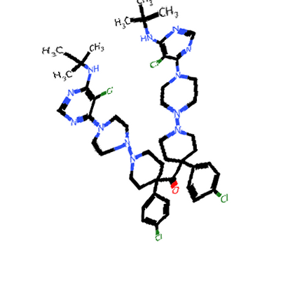 CC(C)(C)Nc1ncnc(N2CCN(N3CCC(C(=O)C4(c5ccc(Cl)cc5)CCN(N5CCN(c6ncnc(NC(C)(C)C)c6Cl)CC5)CC4)(c4ccc(Cl)cc4)CC3)CC2)c1Cl